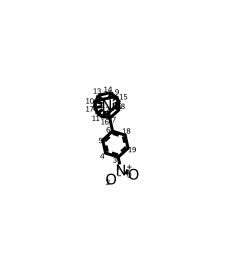 O=[N+]([O-])c1ccc([C]23[CH]4[CH]5[CH]6[CH]2[Ni]56432789[CH]3[CH]2[CH]7[CH]8[CH]39)cc1